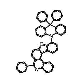 c1ccc(-c2nc3ccccc3c3c2ccc2oc4c(N5c6ccccc6C(c6ccccc6)(c6ccccc6)c6ccccc65)cccc4c23)cc1